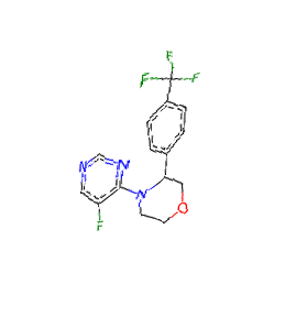 Fc1cncnc1N1CCOCC1c1ccc(C(F)(F)F)cc1